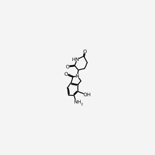 Nc1ccc2c(c1O)CN(C1CCC(=O)NC1=O)C2=O